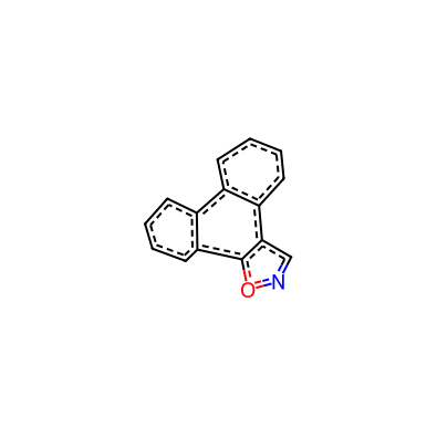 c1ccc2c(c1)c1ccccc1c1oncc21